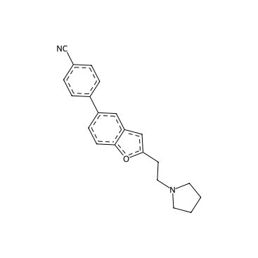 N#Cc1ccc(-c2ccc3oc(CCN4CCCC4)cc3c2)cc1